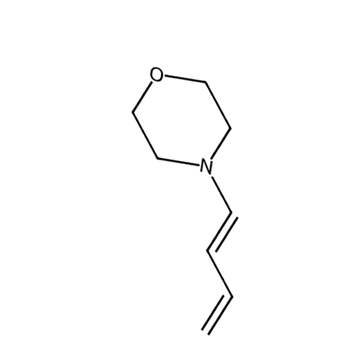 C=CC=CN1CCOCC1